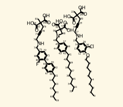 CCCCCCCCCCOc1ccc(CNCC#CCC(C)(C(=O)O)C(=O)O)cc1Cl.CCCCCCCCCCc1ccc(CN2CC(C(=O)O)(C(=O)O)C2)cc1.CCCCCCCc1ccc(-c2ccc(CNCC#CCC(C)(C(=O)O)C(=O)O)cc2F)cc1